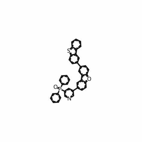 O=P(c1ccccc1)(c1ccccc1)c1cncc(-c2ccc3oc4ccc(-c5ccc6sc7ccccc7c6c5)cc4c3c2)c1